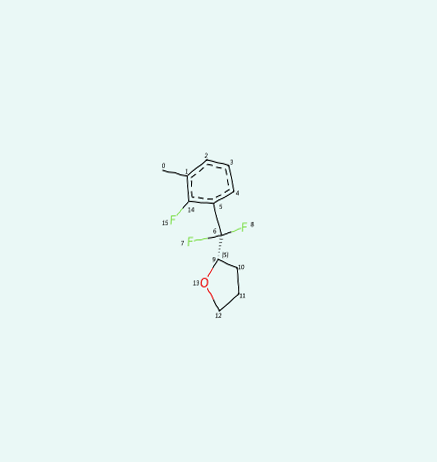 Cc1cccc(C(F)(F)[C@@H]2CCCO2)c1F